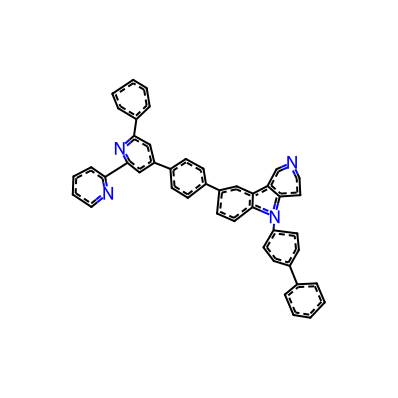 c1ccc(-c2ccc(-n3c4ccncc4c4cc(-c5ccc(-c6cc(-c7ccccc7)nc(-c7ccccn7)c6)cc5)ccc43)cc2)cc1